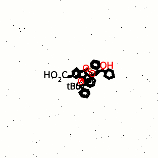 CC(C)(C)[Si](OC12CCC(C#CC(O)C3CCCCC3)C1(S(=O)(=O)c1ccccc1)Cc1ccc(CC(=O)O)cc12)(c1ccccc1)c1ccccc1